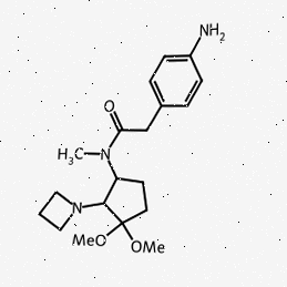 COC1(OC)CCC(N(C)C(=O)Cc2ccc(N)cc2)C1N1CCC1